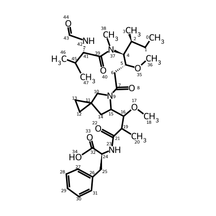 CC[C@H](C)[C@@H]([C@@H](CC(=O)N1CC2(CC2)CC1C(OC)C(C)C(=O)N[C@@H](Cc1ccccc1)C(=O)O)OC)N(C)C(=O)[C@@H](NC=O)C(C)C